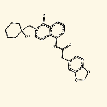 O=C(Cc1ccc2c(c1)OCO2)Nc1cccc2c(=O)n(CC3(O)CCCCC3)ccc12